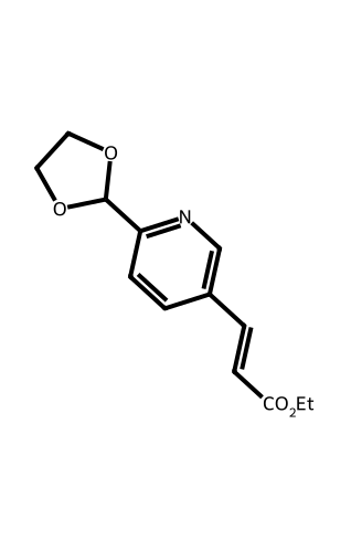 CCOC(=O)C=Cc1ccc(C2OCCO2)nc1